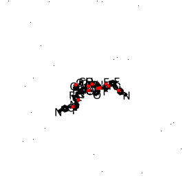 COC[C@H]1COC[C@H]1n1c(Cc2cc(F)c(-c3ccc(F)c(OCc4ccc(C#N)cc4)n3)cc2F)nc2ccc(C(=O)OC(=O)c3ccc4nc(Cc5cc(F)c(-c6ccc(F)c(OCc7ccc(C#N)cc7)n6)cc5F)n([C@@H]5COC[C@@H]5COC)c4c3)cc21